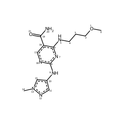 COCCCNc1nc(Nc2cnn(C)c2)ncc1C(N)=O